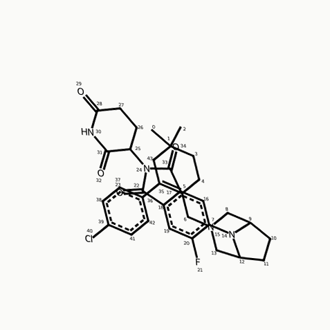 CC1(C)CCC(CN2CC3CCC(C2)N3c2cc3c(cc2F)C(=O)N(C2CCC(=O)NC2=O)C3=O)=C(c2ccc(Cl)cc2)C1